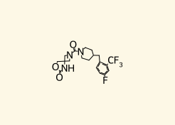 O=C1NC2(CO1)CN(C(=O)N1CCC(Cc3ccc(F)cc3C(F)(F)F)CC1)C2